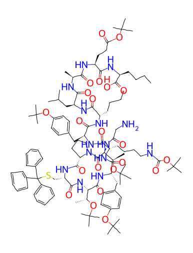 CCCC[C@H](NC(=O)[C@H](CCC(=O)OC(C)(C)C)NC(=O)[C@H](C)NC(=O)[C@H](CC(C)C)NC(=O)[C@H](CCCC)NC(=O)[C@H](Cc1ccc(OC(C)(C)C)cc1)NC(=O)[C@H](CCCCNC(=O)OC(C)(C)C)NC(=O)[C@H](Cc1ccc(OC(C)(C)C)cc1)NC(=O)[C@@H](NC(=O)[C@H](CSC(c1ccccc1)(c1ccccc1)c1ccccc1)NC(=O)[C@@H]1CCCN1C(=O)[C@@H](NC(=O)CN)[C@@H](C)OC(C)(C)C)[C@@H](C)OC(C)(C)C)C(=O)O